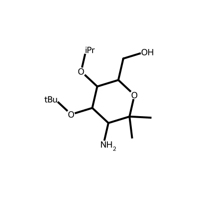 CC(C)OC1C(CO)OC(C)(C)C(N)C1OC(C)(C)C